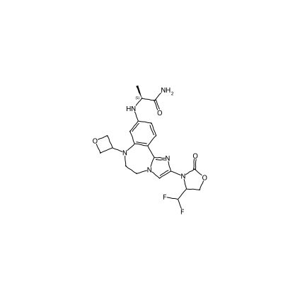 C[C@H](Nc1ccc2c(c1)N(C1COC1)CCn1cc(N3C(=O)OCC3C(F)F)nc1-2)C(N)=O